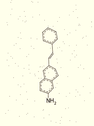 Nc1ccc2cc(/C=C/c3ccccc3)ccc2c1